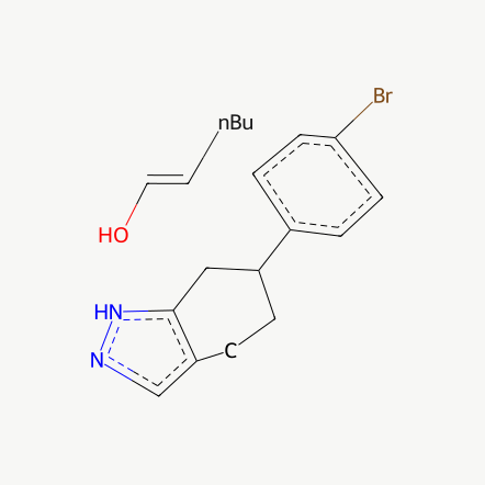 Brc1ccc(C2CCc3cn[nH]c3C2)cc1.CCCCC=CO